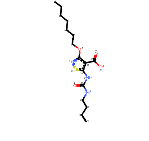 CCCCCCCOc1nsc(NC(=O)NCCCC)c1C(=O)O